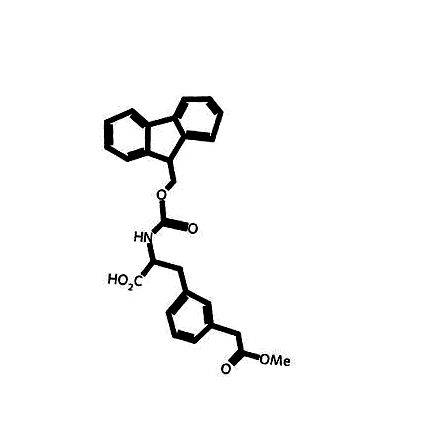 COC(=O)Cc1cccc(CC(NC(=O)OCC2c3ccccc3-c3ccccc32)C(=O)O)c1